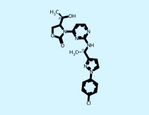 C[C@H](Nc1nccc(N2C(=O)OCC2[C@@H](C)O)n1)c1ccn(-c2ccc(Cl)cc2)n1